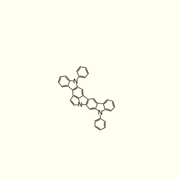 c1ccc(-n2c3ccccc3c3cc4c5cc6c(c7ccccc7n6-c6ccccc6)c6ccn(c4cc32)c56)cc1